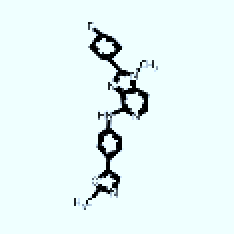 Cc1ncc(-c2ccc(Nc3nccc4c3nc(-c3ccc(F)cc3)n4C)cc2)o1